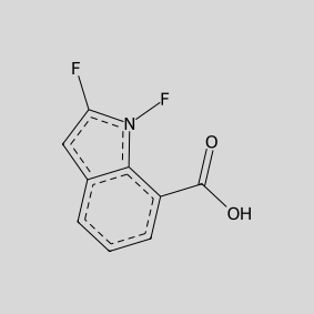 O=C(O)c1cccc2cc(F)n(F)c12